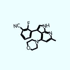 Cc1cc(N2CCOCC2)c2c(-c3cccc(C#N)c3F)c[nH]c2n1